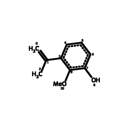 C=C(C)c1cccc(O)c1OC